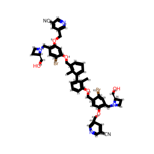 Cc1c(COc2cc(OCc3cncc(C#N)c3)c(CN3CC[C@@H]3CO)cc2Br)cccc1-c1cccc(OCc2cc(OCc3cncc(C#N)c3)c(CN3CC[C@@H]3CO)cc2Br)c1C